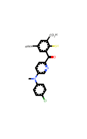 CCCCCCc1cc(C(=O)O)c(S)c(C(=O)c2ccc(N(C)c3ccc(Cl)cc3)cn2)c1